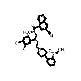 CC[S+]([O-])c1ccccc1C1CCN(CC[C@H](CN(C)C(=O)c2cc(C#N)cc3ccccc23)c2ccc(Cl)c(Cl)c2)CC1